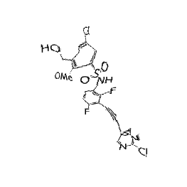 COc1c(CO)cc(Cl)cc1S(=O)(=O)Nc1ccc(F)c(C#Cc2cnc(Cl)nc2)c1F